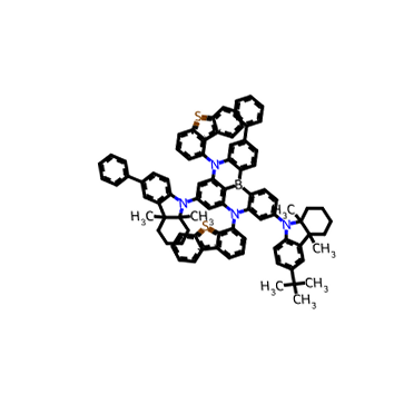 CC(C)(C)c1ccc2c(c1)C1(C)CCCCC1(C)N2c1ccc2c(c1)N(c1cccc3c1sc1ccccc13)c1cc(N3c4ccc(-c5ccccc5)cc4C4(C)CCCCC34C)cc3c1B2c1ccc(-c2ccccc2)cc1N3c1cccc2sc3ccccc3c12